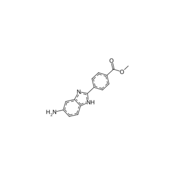 COC(=O)c1ccc(-c2nc3cc(N)ccc3[nH]2)cc1